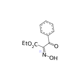 CCOC(=O)/C(=N/O)C(=O)c1ccccc1